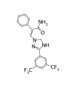 NC(=O)/C(=C\N1CNC(c2cc(C(F)(F)F)cc(C(F)(F)F)c2)=N1)c1ccccc1